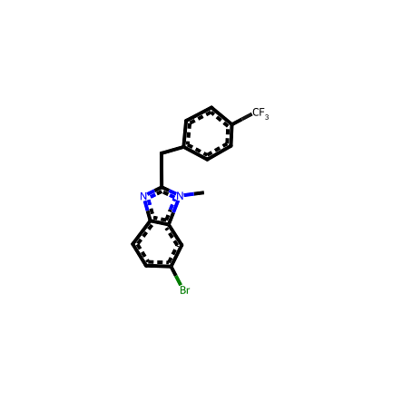 Cn1c(Cc2ccc(C(F)(F)F)cc2)nc2ccc(Br)cc21